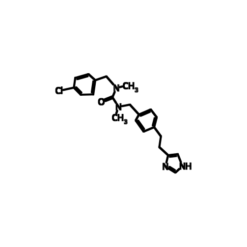 CN(Cc1ccc(Cl)cc1)C(=O)N(C)Cc1ccc(CCc2c[nH]cn2)cc1